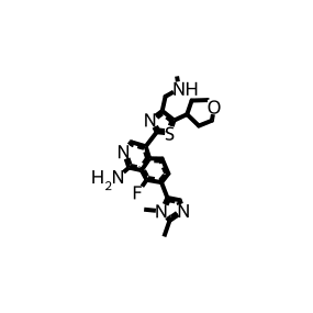 CNCc1nc(-c2cnc(N)c3c(F)c(-c4cnc(C)n4C)ccc23)sc1C1CCOCC1